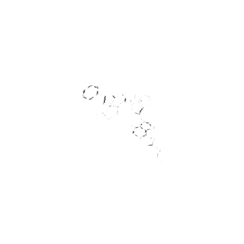 CCNC(=O)Nc1ncnc2c1ncn2C1=C2OCO[C@@H]2[C@H](C(=O)C2CCNC2(C=Cc2ccccc2)C(=O)O)O1